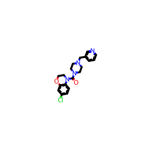 O=C(N1CCN(Cc2cccnc2)CC1)N1CCOc2cc(Cl)ccc21